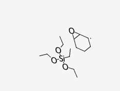 CCO[Si](CC)(OCC)OCC.[CH]1CCCC2OC12